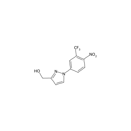 O=[N+]([O-])c1ccc(-n2ccc(CO)n2)cc1C(F)(F)F